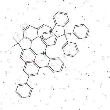 CC1(C)c2cccc(N(c3ccc4c(c3)C(c3ccccc3)(c3ccccc3)c3ccccc3-4)c3ccccc3-c3cccc(-c4ccccc4)c3)c2-c2c1ccc1ccccc21